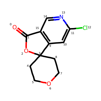 O=C1OC2(CCOCC2)c2cc(Cl)ncc21